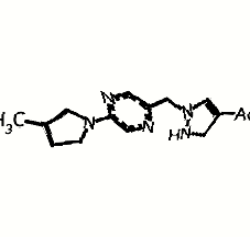 CC(=O)C1=CN(Cc2cnc(N3CCC(C)C3)cn2)NC1